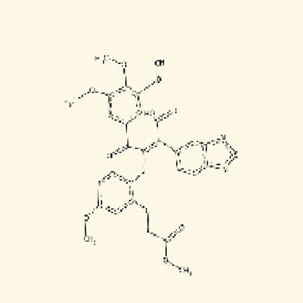 COC(=O)COc1cc(OC)ccc1CC(C(=O)c1cc(OC)c(OC)c(OC)c1)=C(C(=O)O)c1ccc2nsnc2c1